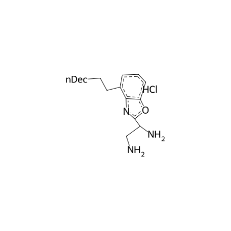 CCCCCCCCCCCCc1cccc2oc(C(N)CN)nc12.Cl